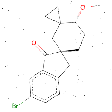 CO[C@@H]1CC[C@]2(Cc3ccc(Br)cc3C2=O)CC12CC2